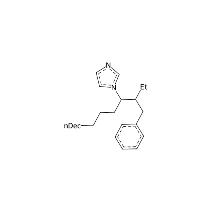 CCCCCCCCCCCCCC(C(CC)Cc1ccccc1)n1ccnc1